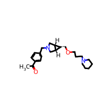 CC(=O)c1ccc(CN2C[C@@H]3[C@H](COCCCN4CCCCC4)[C@@H]3C2)cc1